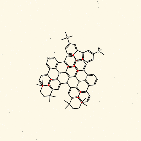 C[SiH2]c1ccc2c(c1)c1cc([Si](C)(C)C)ccc1n2-c1cc2c3c(c1)N(c1c(-c4ccccc4)cncc1-c1ccccc1)c1cc4c(cc1B3c1cc3c(cc1N2c1c(-c2ccccc2)cncc1-c1ccccc1)C(C)(C)CCC3(C)C)C(C)(C)CCC4(C)C